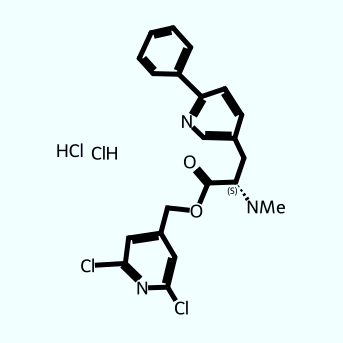 CN[C@@H](Cc1ccc(-c2ccccc2)nc1)C(=O)OCc1cc(Cl)nc(Cl)c1.Cl.Cl